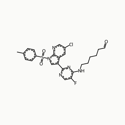 Cc1ccc(S(=O)(=O)n2cc(-c3ncc(F)c(NCCCCCC=O)n3)c3cc(Cl)cnc32)cc1